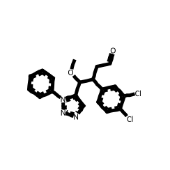 COC(c1cnnn1-c1ccccc1)C(CC=O)c1ccc(Cl)c(Cl)c1